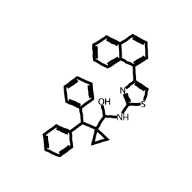 OC(Nc1nc(-c2cccc3ccccc23)cs1)C1(C(c2ccccc2)c2ccccc2)CC1